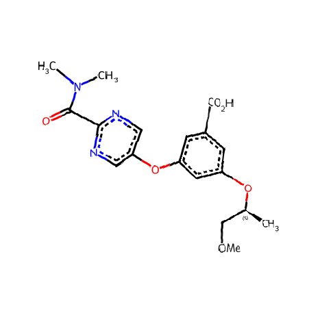 COC[C@H](C)Oc1cc(Oc2cnc(C(=O)N(C)C)nc2)cc(C(=O)O)c1